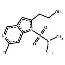 CN(C)S(=O)(=O)n1c(CCO)cc2cnc(Cl)cc21